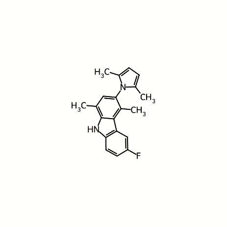 Cc1cc(-n2c(C)ccc2C)c(C)c2c1[nH]c1ccc(F)cc12